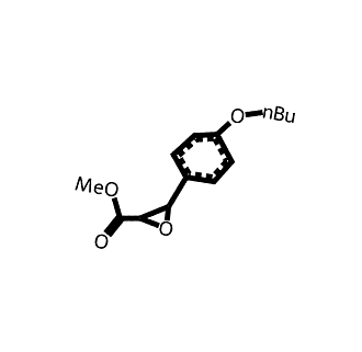 CCCCOc1ccc(C2OC2C(=O)OC)cc1